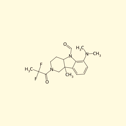 CN(C)c1cccc2c1N(C=O)C1CCN(C(=O)C(C)(F)F)CC21C